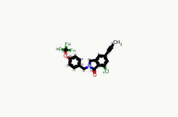 CC#Cc1cc(Cl)c2c(c1)CN(Cc1ccc(OC(F)(F)F)cc1)C2=O